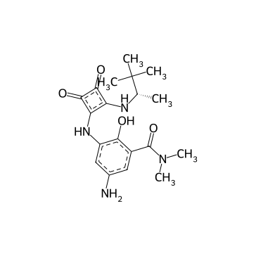 C[C@H](Nc1c(Nc2cc(N)cc(C(=O)N(C)C)c2O)c(=O)c1=O)C(C)(C)C